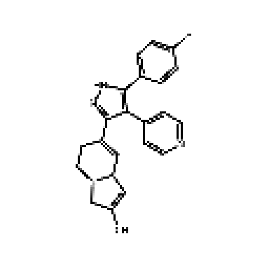 CC1=CC2C=C(c3n[nH]c(-c4ccc(F)cc4)c3-c3ccncc3)CCN2C1